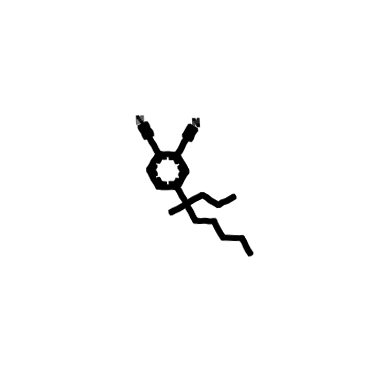 CCCCCC(C)(CCC)c1ccc(C#N)c(C#N)c1